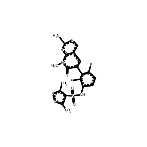 Cc1noc(C)c1S(=O)(=O)Nc1ccc(F)c(-c2cc3cnc(N)nc3n(C)c2=O)c1F